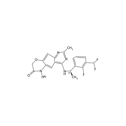 CCCN1C(=O)COc2cc3nc(C)nc(N[C@H](C)c4cccc(C(F)F)c4F)c3cc21